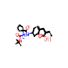 CCC(=Cc1ccc(NC(=O)C2(NC(=O)OC(C)(C)C)CCCC2)cc1)C(=O)O